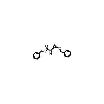 O=C(NC1CC1OCc1ccccc1)OCc1ccccc1